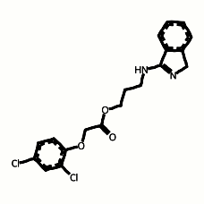 O=C(COc1ccc(Cl)cc1Cl)OCCCNC1=NCc2ccccc21